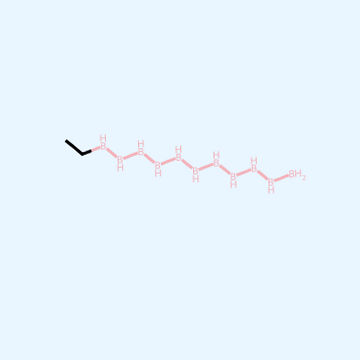 BBBBBBBBBBBCC